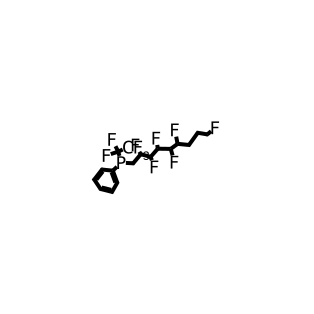 FCCCC(F)C(F)C(F)C(F)C(F)CP(c1ccccc1)C(F)(F)C(F)(F)F